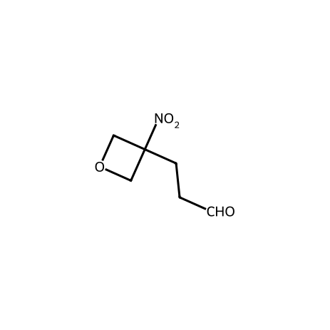 O=CCCC1([N+](=O)[O-])COC1